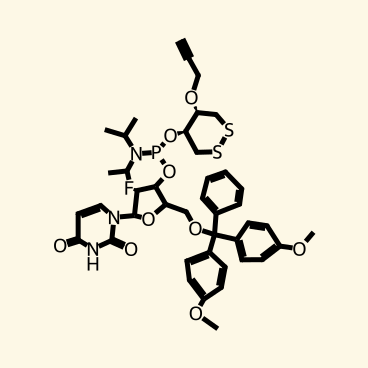 C#CCO[C@@H]1CSSC[C@H]1OP(OC1C(COC(c2ccccc2)(c2ccc(OC)cc2)c2ccc(OC)cc2)OC(n2ccc(=O)[nH]c2=O)[C@@H]1F)N(C(C)C)C(C)C